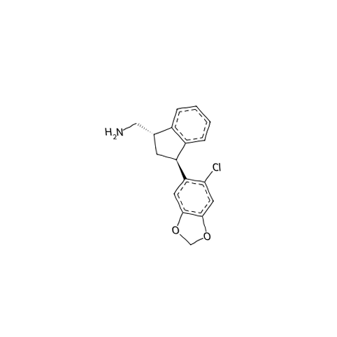 NC[C@H]1C[C@H](c2cc3c(cc2Cl)OCO3)c2ccccc21